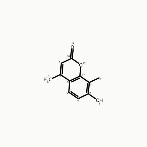 Cc1c(O)ccc2c(C(F)(F)F)cc(=O)oc12